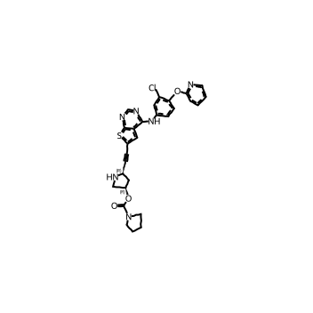 O=C(O[C@H]1CN[C@@H](C#Cc2cc3c(Nc4ccc(Oc5ccccn5)c(Cl)c4)ncnc3s2)C1)N1CCCC1